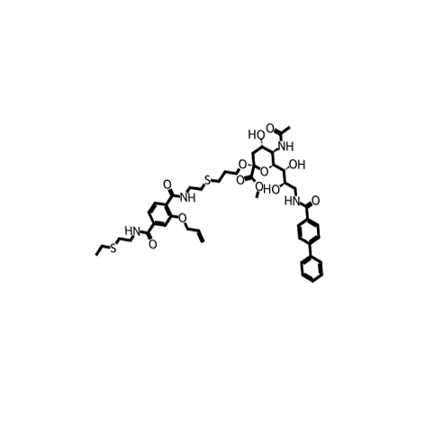 C=CCOc1cc(C(=O)NCCSCC)ccc1C(=O)NCCSCCCO[C@]1(C(=O)OC)C[C@H](O)[C@@H](NC(C)=O)[C@H]([C@H](O)[C@H](O)CNC(=O)c2ccc(-c3ccccc3)cc2)O1